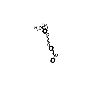 C=C(C)c1ccc(OCCCCOc2ccc(C=CC(=O)c3ccccc3)cc2)cc1